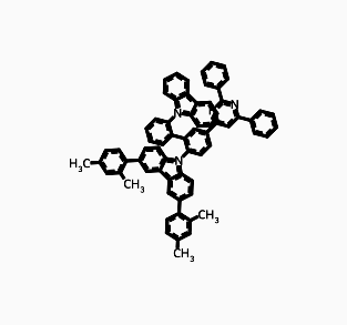 Cc1ccc(-c2ccc3c(c2)c2cc(-c4ccc(C)cc4C)ccc2n3-c2ccc(-c3cc(-c4ccccc4)nc(-c4ccccc4)n3)cc2-c2ccccc2-n2c3ccccc3c3ccccc32)c(C)c1